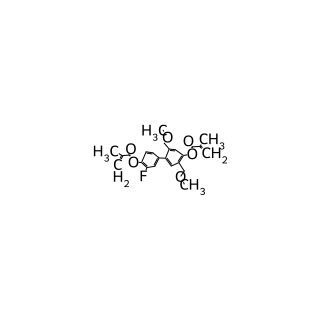 C=C(C)C(=O)Oc1ccc(-c2cc(COC)c(OC(=O)C(=C)C)cc2COC)cc1F